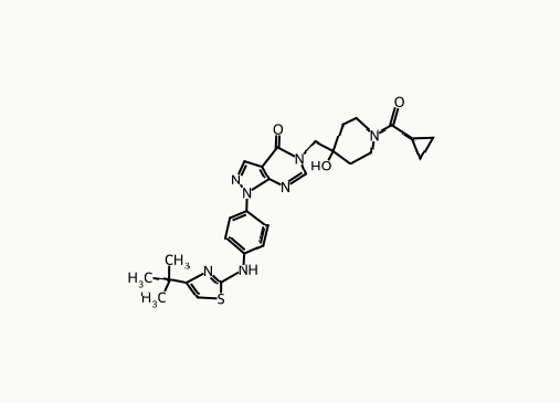 CC(C)(C)c1csc(Nc2ccc(-n3ncc4c(=O)n(CC5(O)CCN(C(=O)C6CC6)CC5)cnc43)cc2)n1